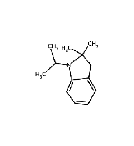 CC(C)N1c2ccccc2CC1(C)C